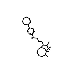 CCC1C(CCCNc2ccc(C3CCCCCC3)cn2)C2CCCCC(C)C(C)(C2)C1(C)C